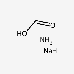 N.O=CO.[NaH]